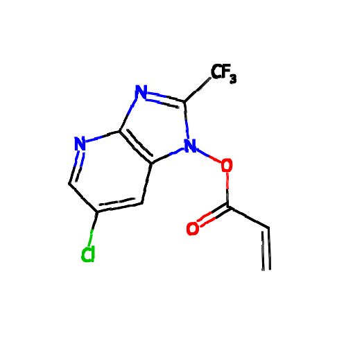 C=CC(=O)On1c(C(F)(F)F)nc2ncc(Cl)cc21